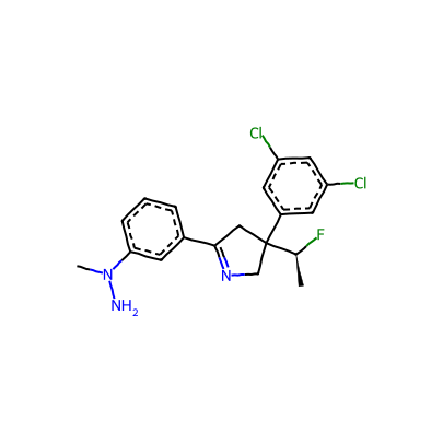 C[C@H](F)C1(c2cc(Cl)cc(Cl)c2)CN=C(c2cccc(N(C)N)c2)C1